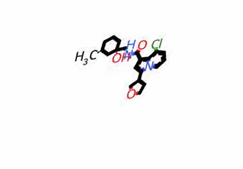 C[C@@H]1CCC[C@@](O)(CNC(=O)c2cc(C3CCOC3)n3cccc(Cl)c23)C1